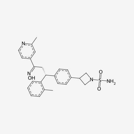 Cc1cc(/C(C[C@H](c2ccc(C3CN(S(N)(=O)=O)C3)cc2)c2ccccc2C)=N/O)ccn1